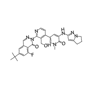 Cn1cc(-c2ccnc(-n3ncc4cc(C(C)(C)C)cc(F)c4c3=O)c2CO)cc(Nc2cc3n(n2)CCC3)c1=O